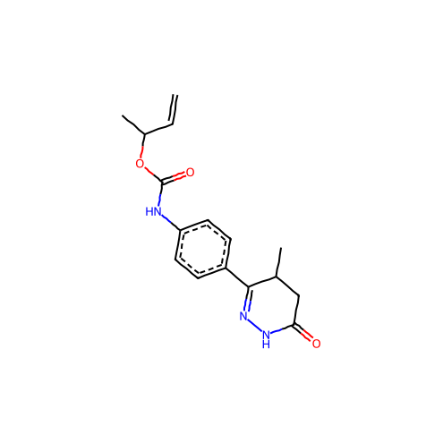 C=CC(C)OC(=O)Nc1ccc(C2=NNC(=O)CC2C)cc1